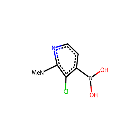 CNc1nccc(B(O)O)c1Cl